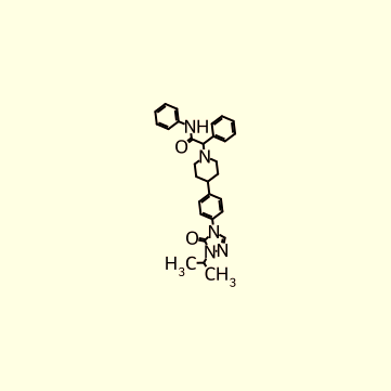 CC(C)n1ncn(-c2ccc(C3CCN(C(C(=O)Nc4ccccc4)c4ccccc4)CC3)cc2)c1=O